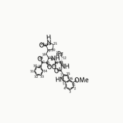 COc1cccc2[nH]c(C(=O)N[C@@H](CC(C)C)C(=O)NC(CC3CCNC3=O)C(=O)C(=O)c3ccccc3)cc12